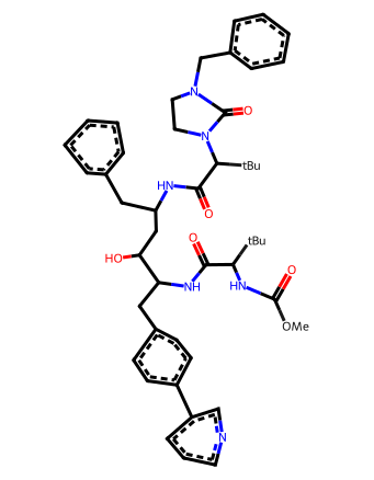 COC(=O)NC(C(=O)NC(Cc1ccc(-c2cccnc2)cc1)C(O)CC(Cc1ccccc1)NC(=O)C(N1CCN(Cc2ccccc2)C1=O)C(C)(C)C)C(C)(C)C